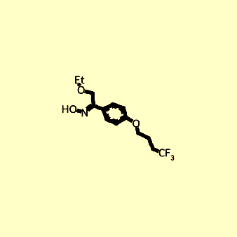 CCOC/C(=N\O)c1ccc(OCCCC(F)(F)F)cc1